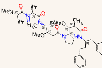 CC[C@H](C)[C@@H]([C@@H](CC(=O)N1CCC[C@H]1[C@H](OC)[C@@H](C)C(=O)N[C@H](CCc1ccc(S(=O)(=O)O)cc1)Cc1ccccc1)OC)N(C)C(=O)[C@@H](NC(=O)[C@@H](NC)C(C)C)C(C)C